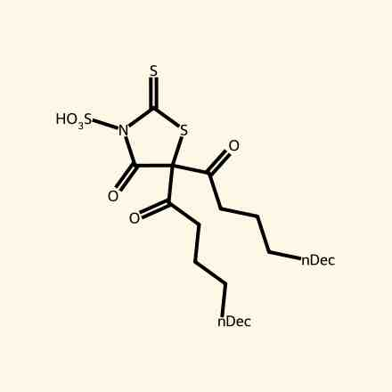 CCCCCCCCCCCCCC(=O)C1(C(=O)CCCCCCCCCCCCC)SC(=S)N(S(=O)(=O)O)C1=O